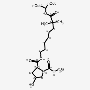 CCCCCCCCC(CCCCCCCC)OC(=O)C(C)(C)CCCCCCOC(=O)[C@@H]1CC(O)CN1C(=O)OC(C)(C)C